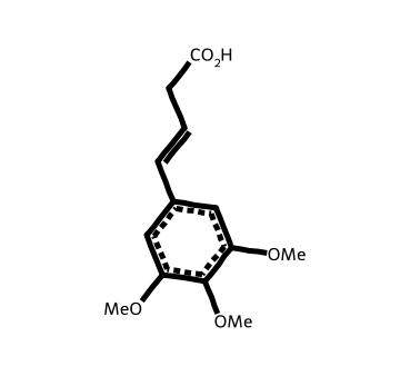 COc1cc(/C=C/CC(=O)O)cc(OC)c1OC